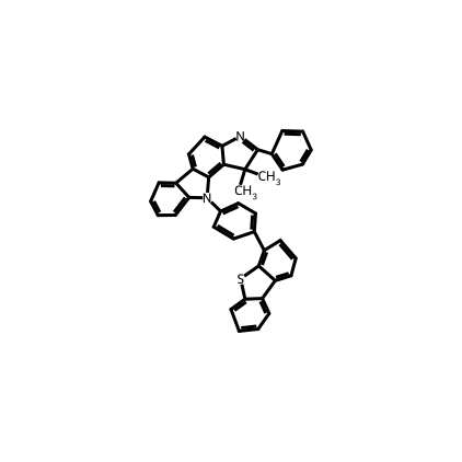 CC1(C)C(c2ccccc2)=Nc2ccc3c4ccccc4n(-c4ccc(-c5cccc6c5sc5ccccc56)cc4)c3c21